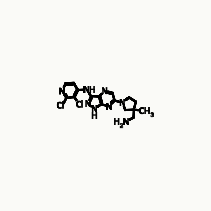 CC1(CN)CCN(c2cnc3c(Nc4ccnc(Cl)c4Cl)n[nH]c3n2)C1